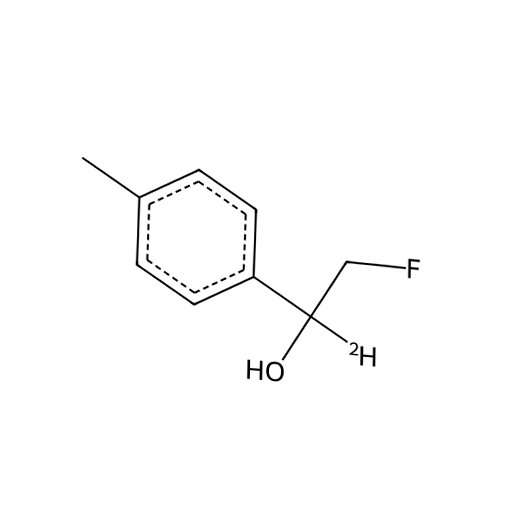 [2H]C(O)(CF)c1ccc(C)cc1